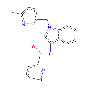 Cc1ccc(Cn2cc(NC(=O)c3cccnn3)c3ccccc32)cn1